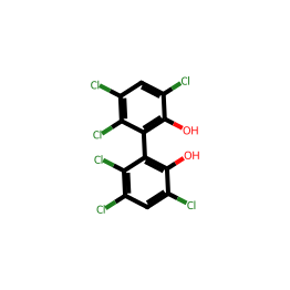 Oc1c(Cl)cc(Cl)c(Cl)c1-c1c(O)c(Cl)cc(Cl)c1Cl